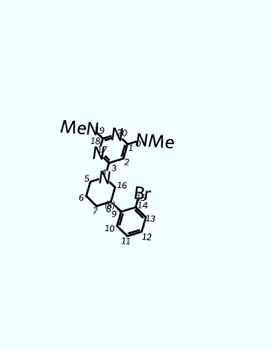 CNc1cc(N2CCC[C@H](c3ccccc3Br)C2)nc(NC)n1